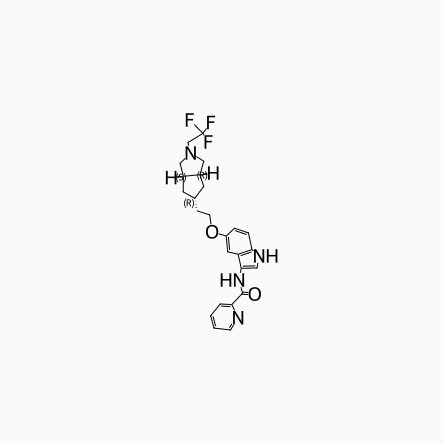 O=C(Nc1c[nH]c2ccc(OCC[C@@H]3C[C@@H]4CN(CC(F)(F)F)C[C@@H]4C3)cc12)c1ccccn1